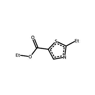 CCOC(=O)c1cnc(CC)s1